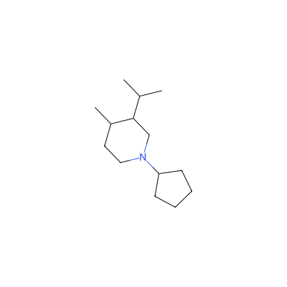 CC(C)C1CN(C2CCCC2)CCC1C